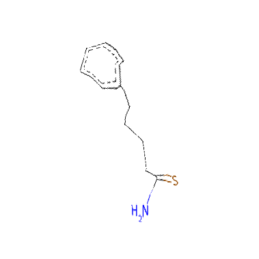 NC(=S)CCCCc1ccccc1